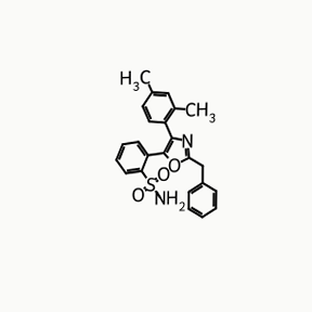 Cc1ccc(-c2nc(Cc3ccccc3)oc2-c2ccccc2S(N)(=O)=O)c(C)c1